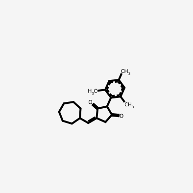 Cc1cc(C)c(C2C(=O)C/C(=C/C3CCCCCC3)C2=O)c(C)c1